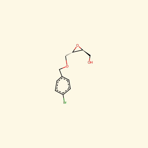 OC[C@@H]1O[C@H]1COCc1ccc(Br)cc1